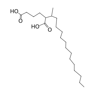 CCCCCCCCCCCCCC(C)C(CCCC(=O)O)C(=O)O